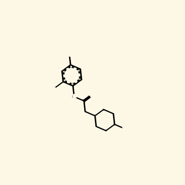 O=C(CC1CCC(C(F)(F)F)CC1)Nc1ccc(Br)cc1I